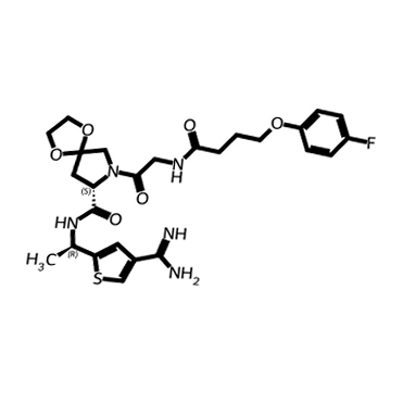 C[C@@H](NC(=O)[C@@H]1CC2(CN1C(=O)CNC(=O)CCCOc1ccc(F)cc1)OCCO2)c1cc(C(=N)N)cs1